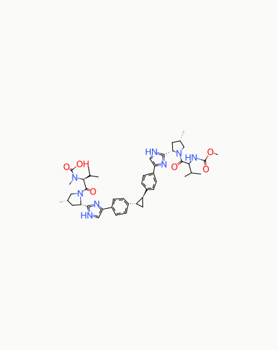 COC(=O)N[C@H](C(=O)N1C[C@@H](C)C[C@H]1c1nc(-c2ccc([C@H]3C[C@@H]3c3ccc(-c4c[nH]c([C@@H]5C[C@H](C)CN5C(=O)[C@H](C(C)C)N(C)C(=O)O)n4)cc3)cc2)c[nH]1)C(C)C